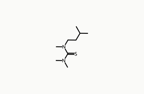 CC(C)CCN(C)C(=S)N(C)C